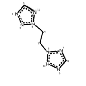 c1nnn(CCn2ncnn2)n1